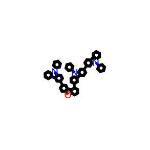 c1ccc(-n2c3ccccc3c3cc(-c4ccc5oc6cccc(-c7ccc8c(c7)c7ccc(-c9ccc%10c%11ccccc%11n(-c%11ccccc%11)c%10c9)cc7n8-c7ccccc7)c6c5c4)ccc32)cc1